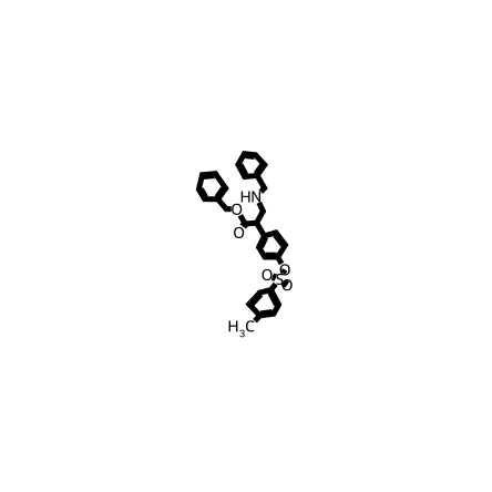 Cc1ccc(S(=O)(=O)Oc2ccc(C(CNCc3ccccc3)C(=O)OCc3ccccc3)cc2)cc1